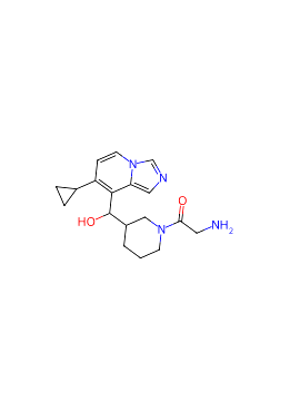 NCC(=O)N1CCCC(C(O)c2c(C3CC3)ccn3cncc23)C1